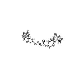 O=C(Cc1ccc(C2(C(F)(F)F)N=N2)cc1)OCCc1ccc(C2(C(F)(F)F)N=N2)cc1